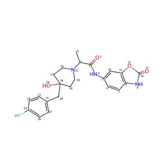 CC(C(=O)Nc1ccc2[nH]c(=O)oc2c1)N1CCC(O)(Cc2ccc(F)cc2)CC1